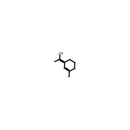 CC1=CC(=C(C)C#N)CCC1